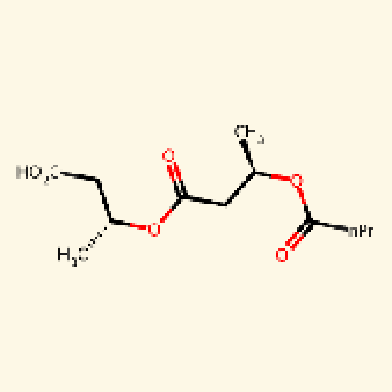 CCCC(=O)O[C@H](C)CC(=O)O[C@H](C)CC(=O)O